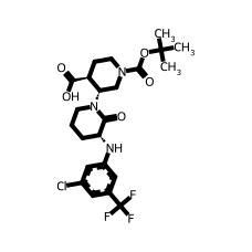 CC(C)(C)OC(=O)N1CC[C@H](C(=O)O)[C@@H](N2CCC[C@@H](Nc3cc(Cl)cc(C(F)(F)F)c3)C2=O)C1